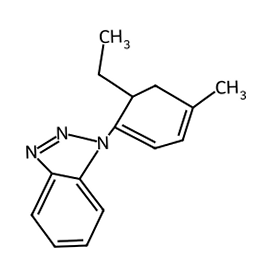 CCC1CC(C)=CC=C1n1nnc2ccccc21